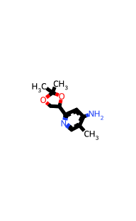 Cc1cnc(C2COC(C)(C)O2)cc1N